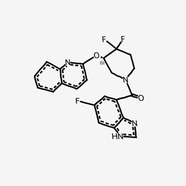 O=C(c1cc(F)cc2[nH]cnc12)N1CCC(F)(F)[C@@H](Oc2ccc3ccccc3n2)C1